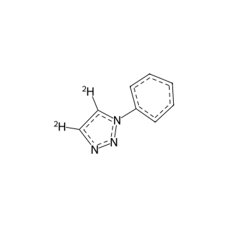 [2H]c1nnn(-c2ccccc2)c1[2H]